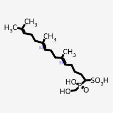 CC(C)=CCC/C(C)=C/CC/C(C)=C/CCCC(P(=O)(O)CO)S(=O)(=O)O